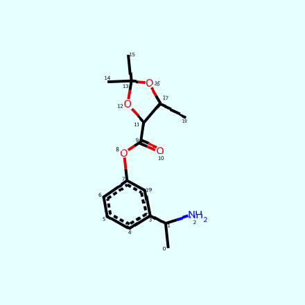 CC(N)c1cccc(OC(=O)C2OC(C)(C)OC2C)c1